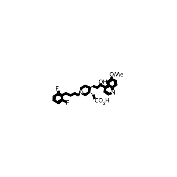 COc1ccc2nccc([C@H](O)CC[C@@H]3CCN(CCCCc4c(F)cccc4F)C[C@H]3CCC(=O)O)c2c1